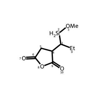 CCC([SiH2]OC)C1CC(=O)OC1=O